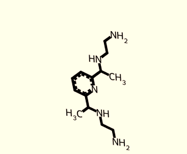 CC(NCCN)c1cccc(C(C)NCCN)n1